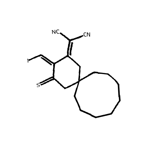 N#CC(C#N)=C1CC2(CCCCCCCC2)CC(=S)/C1=C\I